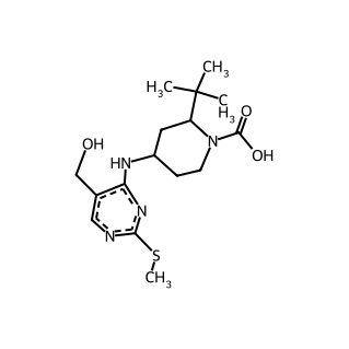 CSc1ncc(CO)c(NC2CCN(C(=O)O)C(C(C)(C)C)C2)n1